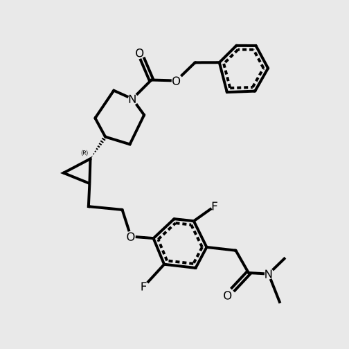 CN(C)C(=O)Cc1cc(F)c(OCCC2C[C@@H]2C2CCN(C(=O)OCc3ccccc3)CC2)cc1F